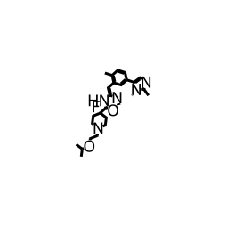 C=N/C(=C\c1cc(-c2cnc(C)n2C)ccc1C)NC(=O)C1(F)CCN(CCOC(C)C)CC1